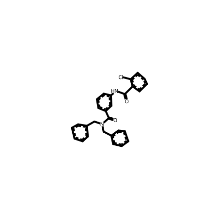 O=C(Nc1cccc(C(=O)N(Cc2ccccc2)Cc2ccccc2)c1)c1ccccc1Cl